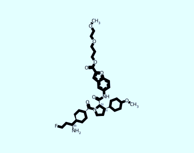 COCCOCCCOC(=O)c1cc2cc(NC(=O)[C@@H]3[C@H](C4CCC(OC)CC4)CCN3C(=O)[C@H]3CC[C@H]([C@H](N)CCF)CC3)ccc2o1